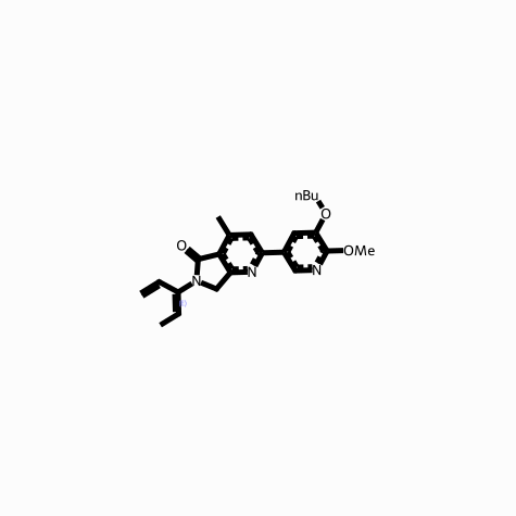 C=C/C(=C\C)N1Cc2nc(-c3cnc(OC)c(OCCCC)c3)cc(C)c2C1=O